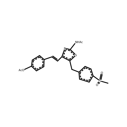 CC(=O)Nc1nc(C=Cc2ccc(OC(C)=O)cc2)c(Cc2ccc(S(C)(=O)=O)cc2)s1